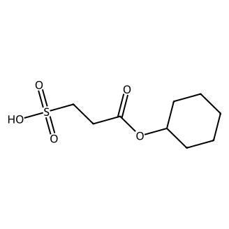 O=C(CCS(=O)(=O)O)OC1CCCCC1